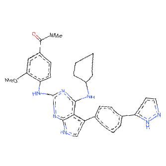 CNC(=O)c1ccc(Nc2nc(NC3CCCC3)c3c(-c4ccc(-c5ccn[nH]5)cc4)c[nH]c3n2)c(OC)c1